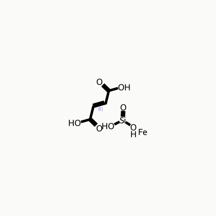 O=C(O)/C=C/C(=O)O.O=[Si](O)O.[Fe]